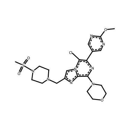 COc1ncc(-c2nc(N3CCOCC3)c3nc(CN4CCN(S(C)(=O)=O)CC4)cn3c2Cl)cn1